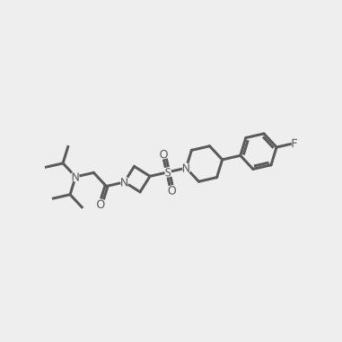 CC(C)N(CC(=O)N1CC(S(=O)(=O)N2CCC(c3ccc(F)cc3)CC2)C1)C(C)C